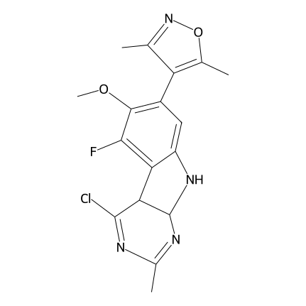 COc1c(-c2c(C)noc2C)cc2c(c1F)C1C(Cl)=NC(C)=NC1N2